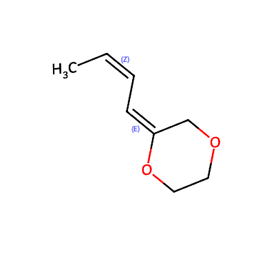 C/C=C\C=C1/COCCO1